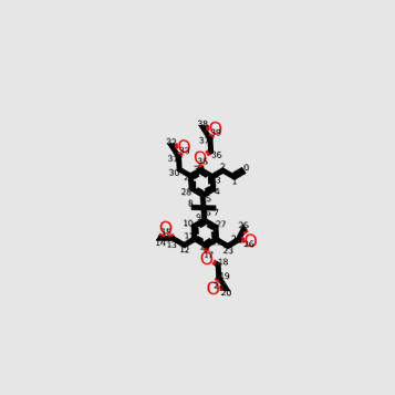 C=CCc1cc(C(C)(C)c2cc(CC3CO3)c(OCC3CO3)c(CC3CO3)c2)cc(CC2CO2)c1OCC1CO1